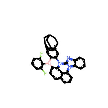 Fc1cccc(F)c1B1c2cc3c(cc2-n2c4c1ccc1cccc(c14)n1c4ccccc4nc21)C1CC2CC(CC3C2)C1